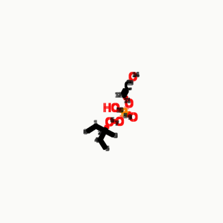 CCC(C)(CC)OOP(=O)(O)OC=C=O